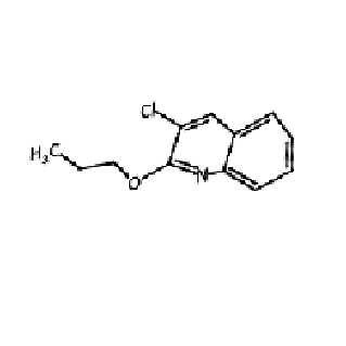 CCCOc1nc2ccccc2cc1Cl